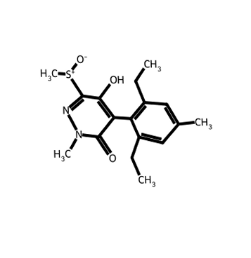 CCc1cc(C)cc(CC)c1-c1c(O)c([S+](C)[O-])nn(C)c1=O